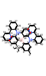 Cc1cc2c3c(c1)[Si](C)(C)c1cc(C)cc4c1B3c1c(cccc1N4c1ccccc1-c1ccccn1)N2c1ccccc1-c1ccccn1